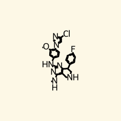 CNc1nc(Nc2ccc(-n3cnc(Cl)c3)c(OC)c2)nc2c1CNCC2c1ccc(F)cc1